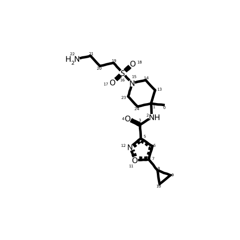 CC1(NC(=O)c2cc(C3CC3)on2)CCN(S(=O)(=O)CCCN)CC1